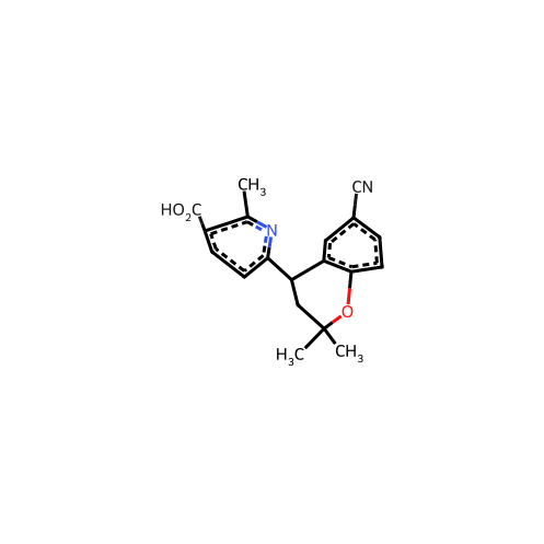 Cc1nc(C2CC(C)(C)Oc3ccc(C#N)cc32)ccc1C(=O)O